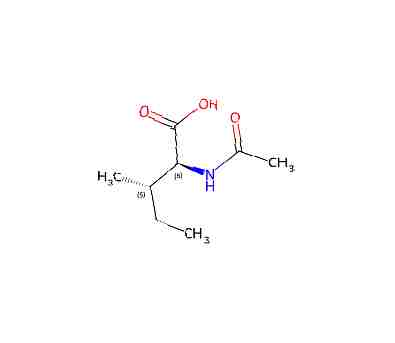 CC[C@H](C)[C@H](NC(C)=O)C(=O)O